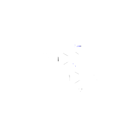 COc1ccc(N(Cc2cnco2)c2ccc(C(=O)O)cc2)cc1OC1CC1